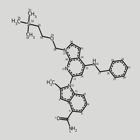 Cc1cc2c(C(N)=O)cccc2n1-c1cc(NCc2ccccc2)c2ccn(COCC[Si](C)(C)C)c2n1